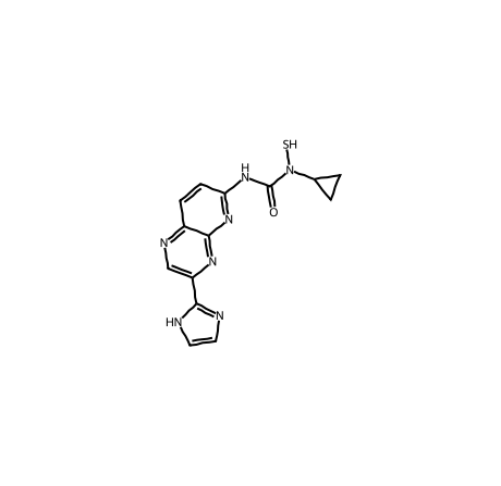 O=C(Nc1ccc2ncc(-c3ncc[nH]3)nc2n1)N(S)C1CC1